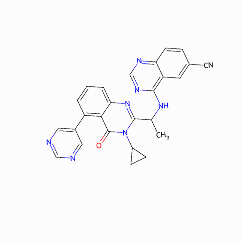 CC(Nc1ncnc2ccc(C#N)cc12)c1nc2cccc(-c3cncnc3)c2c(=O)n1C1CC1